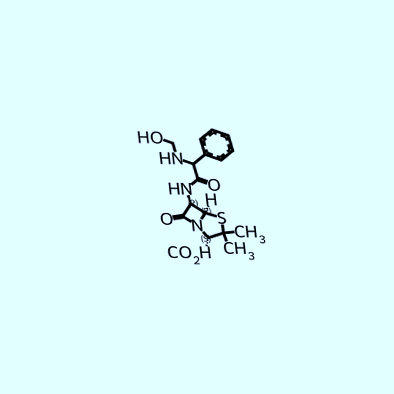 CC1(C)S[C@@H]2[C@H](NC(=O)C(NCO)c3ccccc3)C(=O)N2[C@H]1C(=O)O